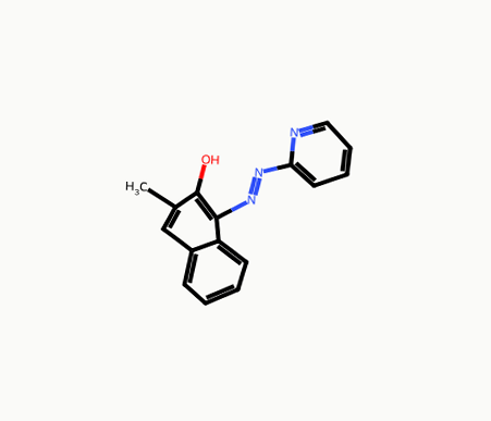 Cc1cc2ccccc2c(/N=N/c2ccccn2)c1O